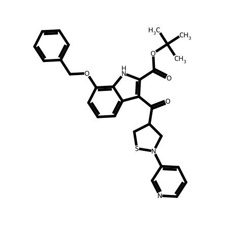 CC(C)(C)OC(=O)c1[nH]c2c(OCc3ccccc3)cccc2c1C(=O)C1CSN(c2cccnc2)C1